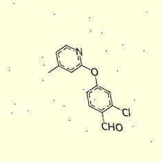 Cc1ccnc(Oc2ccc(C=O)c(Cl)c2)c1